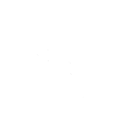 C=Cc1ccccc1-c1ccc(-c2cc(-c3ccccc3)nc(-c3ccc(-c4c(-c5nc(-c6ccccc6)nc(-c6ccccc6)n5)ccc5ccccc45)cc3)n2)cc1C